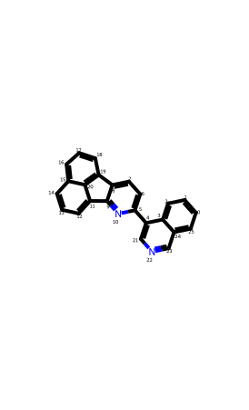 c1ccc2c(-c3ccc4c(n3)-c3cccc5cccc-4c35)cncc2c1